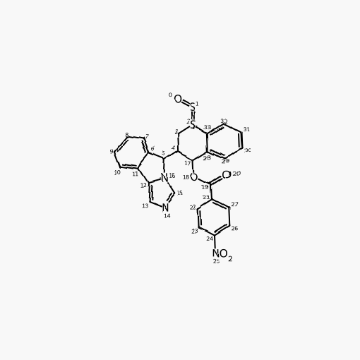 O=S=S1CC(C2c3ccccc3-c3cncn32)C(OC(=O)c2ccc([N+](=O)[O-])cc2)c2ccccc21